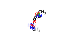 CCOC(=O)NC1CCc2ccc(OCCNS(=O)(=O)c3cn(C)cn3)cc2C1Cc1cccc(Cl)c1